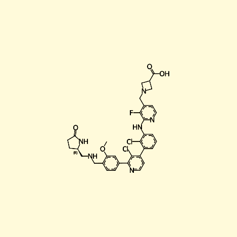 COc1cc(-c2nccc(-c3cccc(Nc4nccc(CN5CC(C(=O)O)C5)c4F)c3Cl)c2Cl)ccc1CNC[C@H]1CCC(=O)N1